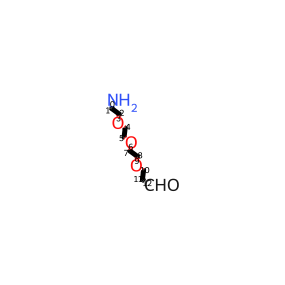 NCCOCCOCCOCCC=O